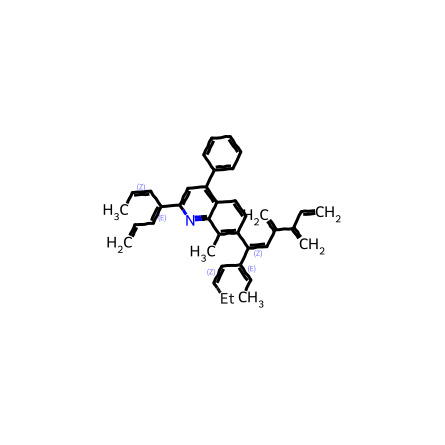 C=C/C=C(\C=C/C)c1cc(-c2ccccc2)c2ccc(C(=C\C(=C)C(=C)C=C)/C(/C=C\CC)=C/C)c(C)c2n1